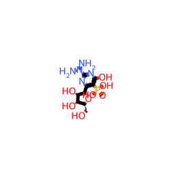 NN(N)c1nc(O)c(P(=O)(O)O)c(C2O[C@H](CO)[C@@H](O)[C@H]2O)n1